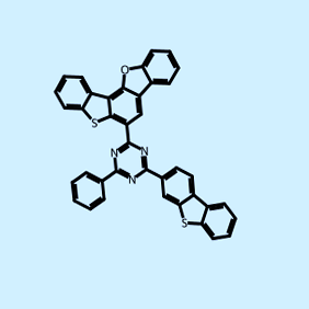 c1ccc(-c2nc(-c3ccc4c(c3)sc3ccccc34)nc(-c3cc4c5ccccc5oc4c4c3sc3ccccc34)n2)cc1